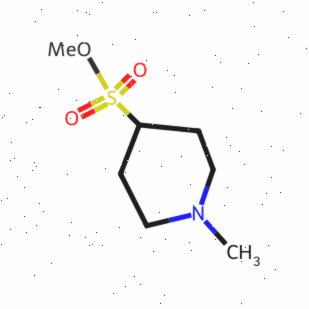 COS(=O)(=O)C1CCN(C)CC1